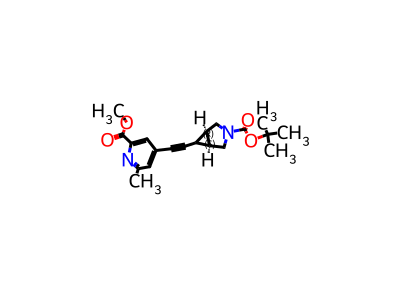 COC(=O)c1cc(C#CC2[C@H]3CN(C(=O)OC(C)(C)C)C[C@@H]23)cc(C)n1